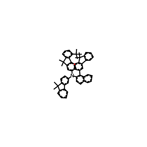 CC(C)(C)c1cccc2c1-c1ccc(N(c3ccc4c(c3)-c3ccccc3C4(C)C)c3ccc4ccccc4c3-c3ccc4c(c3)-c3ccccc3C4(C)C)cc1C2(C)C